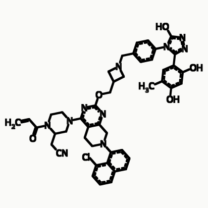 C=CC(=O)N1CCN(c2nc(OCC3CN(Cc4ccc(-n5c(O)nnc5-c5cc(C)c(O)cc5O)cc4)C3)nc3c2CCN(c2cccc4cccc(Cl)c24)C3)CC1CC#N